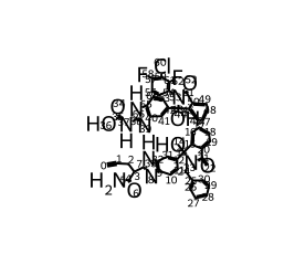 C#CCC(C(N)=O)c1nc2ccc(C3(O)c4ccccc4C(=O)N3Cc3ccccc3)cc2[nH]1.O=C(O)Nc1nc2cc(C3(O)c4ccccc4C(=O)N3c3ccc(F)c(Cl)c3F)ccc2[nH]1